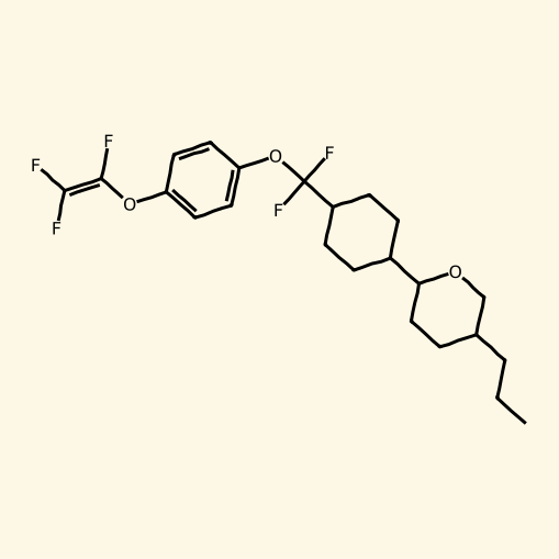 CCCC1CCC(C2CCC(C(F)(F)Oc3ccc(OC(F)=C(F)F)cc3)CC2)OC1